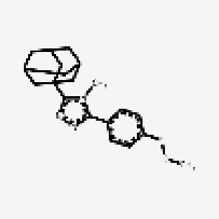 COSc1ccc(-c2nnc(C34CC5CC(CC(C5)C3)C4)n2C)cc1